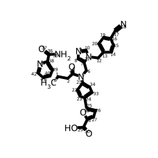 CCCC(=O)N(Cc1cncn1Cc1ccc(C#N)cc1)c1ccc(-c2ccc(C(=O)O)o2)cc1.NC(=O)c1ccccn1